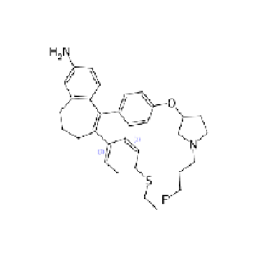 C/C=C(\C=C/CSCC)C1=C(c2ccc(OC3CCN(CCCF)C3)cc2)c2ccc(N)cc2CCC1